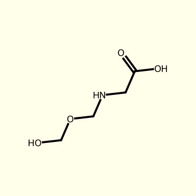 O=C(O)CNCOCO